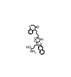 N[C@@H](O)CCNC(=O)[C@@H](Cc1ccc2ccccc2c1)NC(=O)CCCN1C(=O)CCSc2ccccc21